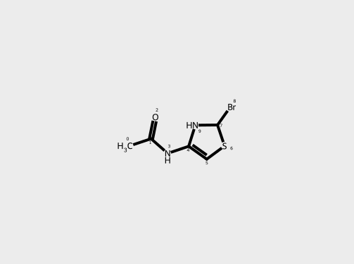 CC(=O)NC1=CSC(Br)N1